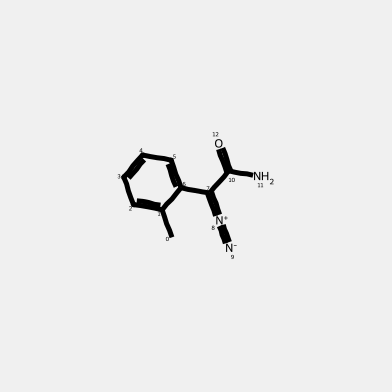 Cc1ccccc1C(=[N+]=[N-])C(N)=O